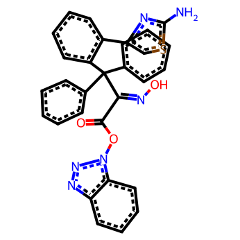 Nc1nc(-c2ccccc2C(C(=NO)C(=O)On2nnc3ccccc32)(c2ccccc2)c2ccccc2)cs1